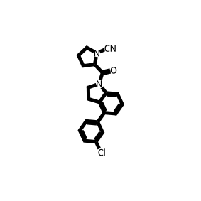 N#CN1CCCC1C(=O)N1CCc2c(-c3cccc(Cl)c3)cccc21